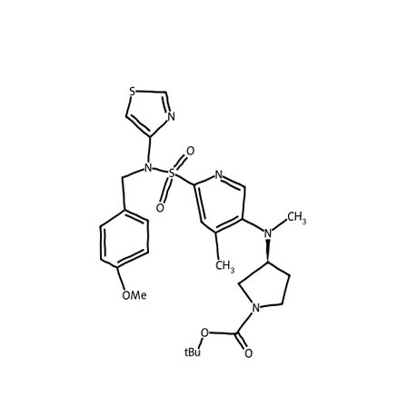 COc1ccc(CN(c2cscn2)S(=O)(=O)c2cc(C)c(N(C)[C@H]3CCN(C(=O)OC(C)(C)C)C3)cn2)cc1